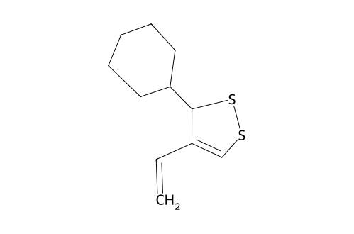 C=CC1=CSSC1C1CCCCC1